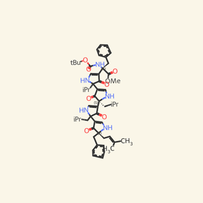 COC(=O)[C@@](Cc1ccccc1)(NC(=O)OC(C)(C)C)C1=CNC(C2=CN[C@@](CC(C)C)(C3=CNC(CC(C)C)(C4=CN[C@](CC=C(C)C)(Cc5ccccc5)C4=O)C3=O)C2=O)(C(C)C)C1=O